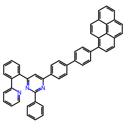 c1ccc(-c2nc(-c3ccc(-c4ccc(-c5ccc6ccc7cccc8ccc5c6c78)cc4)cc3)cc(-c3ccccc3-c3ccccn3)n2)cc1